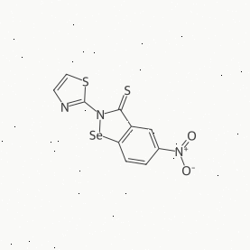 O=[N+]([O-])c1ccc2[se]n(-c3nccs3)c(=S)c2c1